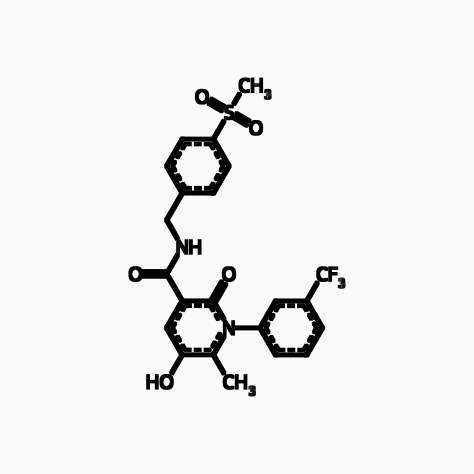 Cc1c(O)cc(C(=O)NCc2ccc(S(C)(=O)=O)cc2)c(=O)n1-c1cccc(C(F)(F)F)c1